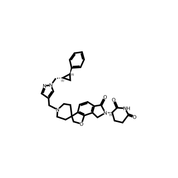 O=C1CC[C@H](N2Cc3c(ccc4c3OCC43CCN(Cc4cnn(C[C@H]5C[C@@H]5c5ccccc5)c4)CC3)C2=O)C(=O)N1